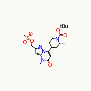 C[C@@H]1CC(c2cc(=O)n(C)c3cc(COS(C)(=O)=O)nn23)CCN1C(=O)OC(C)(C)C